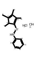 CC1=C(C)C(C)[C]([Zr][NH]c2ccccc2)=C1C.Cl.Cl